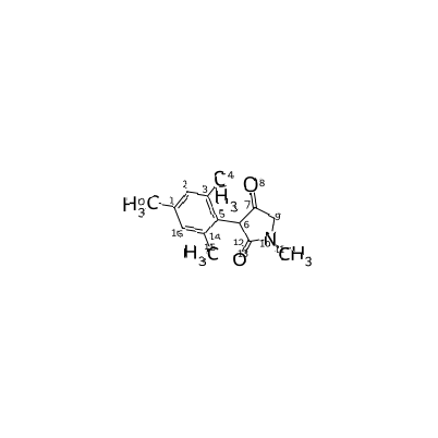 Cc1cc(C)c(C2C(=O)CN(C)C2=O)c(C)c1